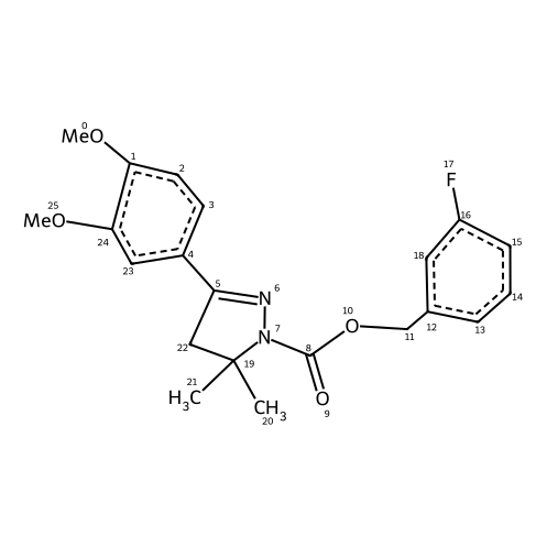 COc1ccc(C2=NN(C(=O)OCc3cccc(F)c3)C(C)(C)C2)cc1OC